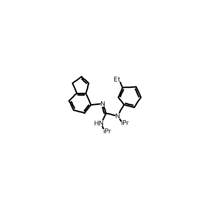 CCc1cccc(N(C(=Nc2cccc3c2C=CC3)NC(C)C)C(C)C)c1